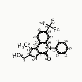 Cn1c(CO)nc2c(=O)n(-c3ccccc3)c3cc(C(F)(F)F)ccc3c21